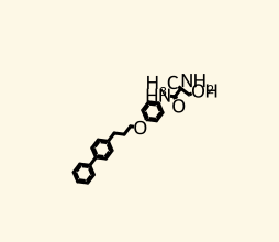 CC(N)(CO)C(=O)Nc1ccc(OCCCc2ccc(-c3ccccc3)cc2)cc1